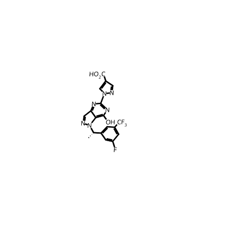 C[C@@H](c1cc(F)cc(C(F)(F)F)c1)n1ncc2nc(-n3cc(C(=O)O)cn3)nc(O)c21